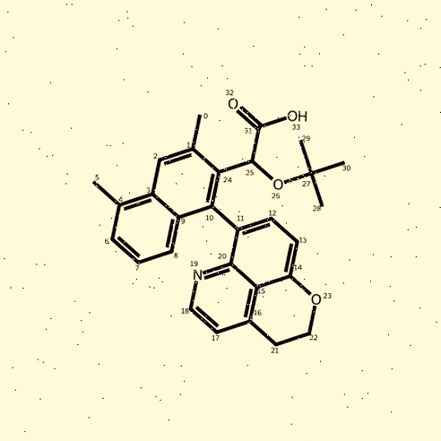 Cc1cc2c(C)cccc2c(-c2ccc3c4c(ccnc24)CCO3)c1C(OC(C)(C)C)C(=O)O